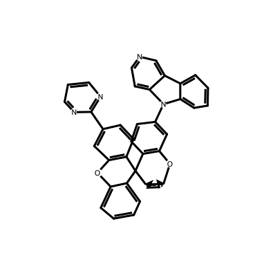 c1cnc(-c2ccc3c(c2)Oc2ccccc2C32c3ccccc3Oc3cc(-n4c5ccccc5c5cnccc54)ccc32)nc1